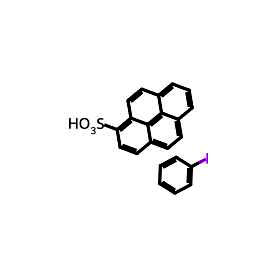 Ic1ccccc1.O=S(=O)(O)c1ccc2ccc3cccc4ccc1c2c34